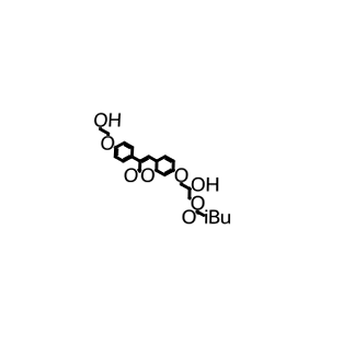 CCC(C)C(=O)OCC(O)COC1=CC2OC(=O)C(c3ccc(OCCO)cc3)=CC2C=C1